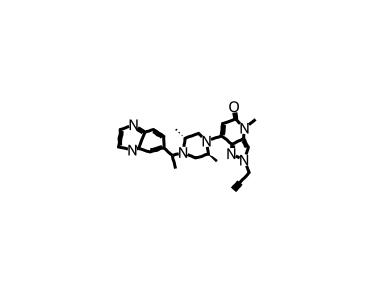 C#CCn1cc2c(n1)c(N1C[C@@H](C)N(C(C)c3ccc4nccnc4c3)C[C@@H]1C)cc(=O)n2C